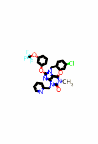 Cn1c(=O)c2c(nc(Oc3cccc(OC(F)(F)F)c3)n2Cc2ccc(Cl)cc2)n(Cc2ccccn2)c1=O